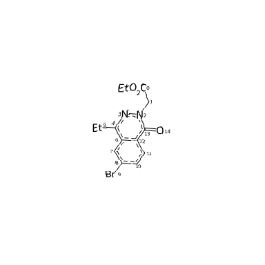 CCOC(=O)Cn1nc(CC)c2cc(Br)ccc2c1=O